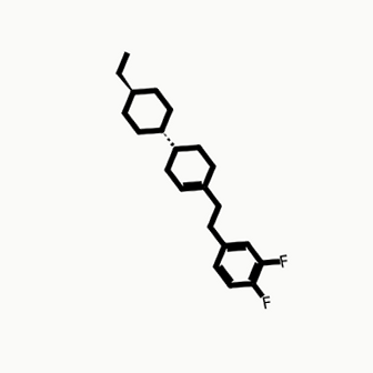 CC[C@H]1CC[C@H](C2CC=C(CCc3ccc(F)c(F)c3)CC2)CC1